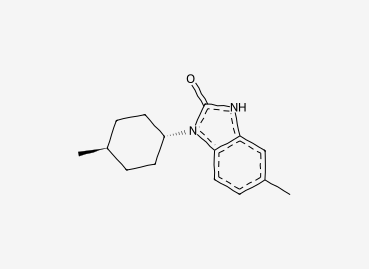 Cc1ccc2c(c1)[nH]c(=O)n2[C@H]1CC[C@H](C)CC1